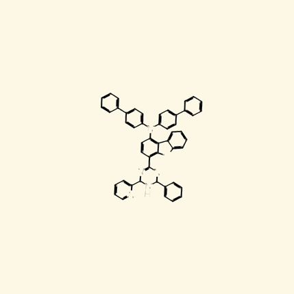 c1ccc(-c2ccc(N(c3ccc(-c4ccccc4)cc3)c3ccc(C4=NC(c5ccccn5)NC(c5ccccc5)N4)c4oc5ccccc5c34)cc2)cc1